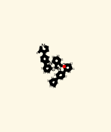 Cc1cnccc1-c1ccc2c3ccccc3n(-c3cccc4c3C(=O)N(c3cc(-c5ccccc5)ccc3-c3ccccc3)C4=O)c2c1